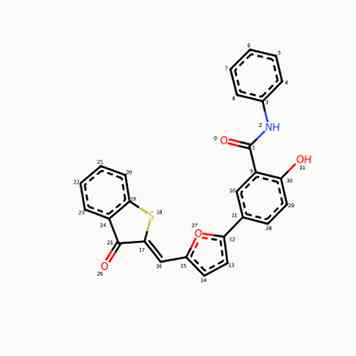 O=C(Nc1ccccc1)c1cc(-c2ccc(/C=C3\Sc4ccccc4C3=O)o2)ccc1O